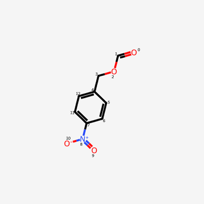 O=[C]OCc1ccc([N+](=O)[O-])cc1